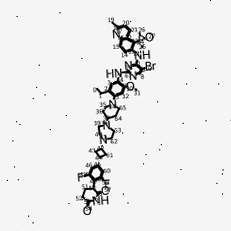 CCc1cc(Nc2ncc(Br)c(Nc3ccc4nc(C)ccc4c3P(C)(C)=O)n2)c(OC)cc1N1CCC(N2CCN([C@H]3C[C@@H](c4cc(F)c(C5CCC(=O)NC5=O)c(F)c4)C3)CC2)CC1